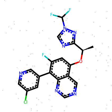 C[C@@H](Oc1cc(F)c(-c2cncc(Cl)c2)c2ncncc12)c1ncn(C(F)F)n1